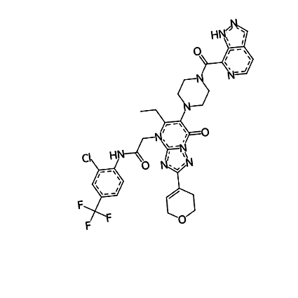 CCc1c(N2CCN(C(=O)c3nccc4cn[nH]c34)CC2)c(=O)n2nc(C3=CCOCC3)nc2n1CC(=O)Nc1ccc(C(F)(F)F)cc1Cl